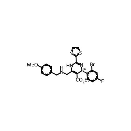 CCOC(=O)C1=C(CNCc2ccc(OC)cc2)NC(c2nccs2)=N[C@H]1c1ccc(F)cc1Br